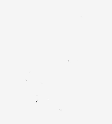 CC(C)=NOCc1cccc(C(=O)NCCCCC(NC(=O)[C@H](CC(C)C)NCN)C(N)=O)c1